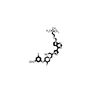 C[Si](C)(C)CCOCn1ccc2c(-c3cnn(C(CC#N)CN4CCC(Oc5cc(F)cc(C=O)c5)C(F)C4)c3)ncnc21